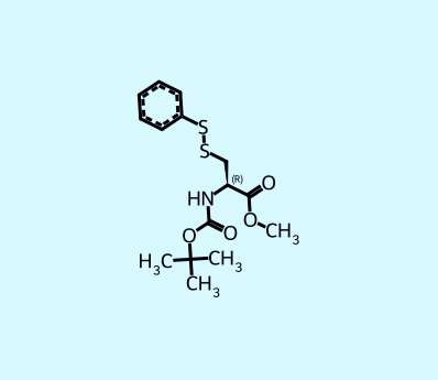 COC(=O)[C@H](CSSc1ccccc1)NC(=O)OC(C)(C)C